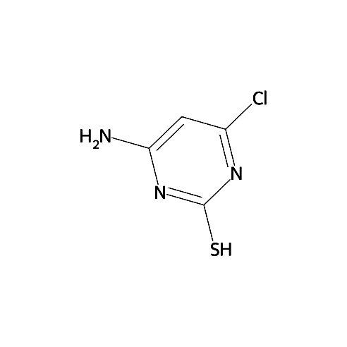 Nc1cc(Cl)nc(S)n1